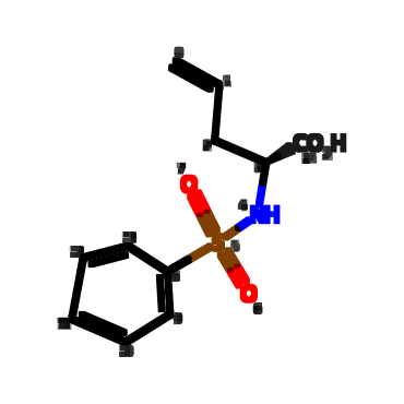 C=CC[C@H](NS(=O)(=O)c1ccccc1)C(=O)O